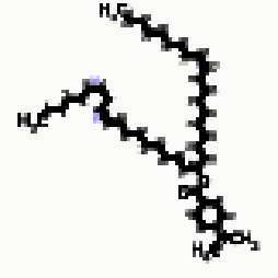 CCCCC/C=C\C/C=C\CCCCCCCCC(CCCCCCCC/C=C\CCCCCCCC)OC(=O)C1CCC(N(C)C)CC1